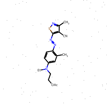 CCN(CCOC(C)=O)c1ccc(/N=N/c2snc(C)c2C#N)c(C)c1